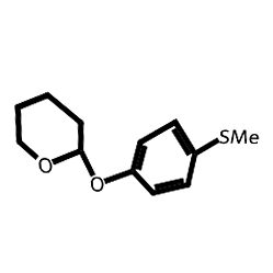 CSc1ccc(OC2CCCCO2)cc1